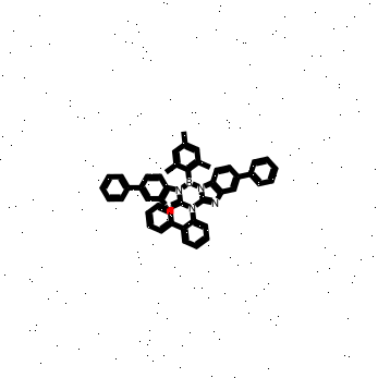 Cc1cc(C)c(B2n3c(nc4cc(-c5ccccc5)ccc43)N(c3ccccc3-c3ccccc3)c3nc4cc(-c5ccccc5)ccc4n32)c(C)c1